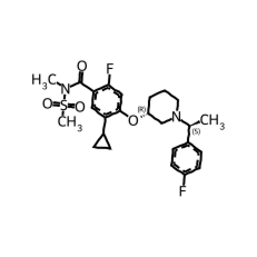 C[C@@H](c1ccc(F)cc1)N1CCC[C@@H](Oc2cc(F)c(C(=O)N(C)S(C)(=O)=O)cc2C2CC2)C1